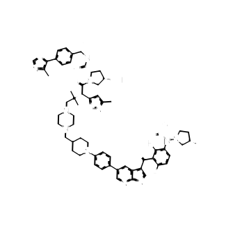 Cc1cc([C@H](C(=O)N2C[C@H](O)C[C@H]2C(=O)N[C@@H](C)c2ccc(-c3scnc3C)cc2)C(C)(C)CN2CCN(CC3CCN(c4ccc(-c5cnc6[nH]cc(C(=O)c7c(F)ccc(N(N8CC[C@@H](F)C8)[SH](=O)=O)c7F)c6c5)cc4)CC3)CC2)on1